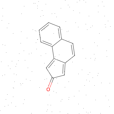 O=C1C=c2ccc3ccccc3c2=C1